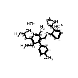 Cc1ccc(-c2c(COc3ccccc3-c3nnn[nH]3)c(C)nc(CC(C)C)c2CN)cc1.Cl.Cl